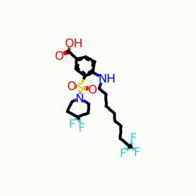 O=C(O)c1ccc(NCCCCCCCC(F)(F)F)c(S(=O)(=O)N2CCC(F)(F)CC2)c1